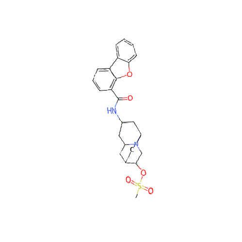 CS(=O)(=O)OC1CN2C3CC(NC(=O)c4cccc5c4oc4ccccc45)CC2CC1C3